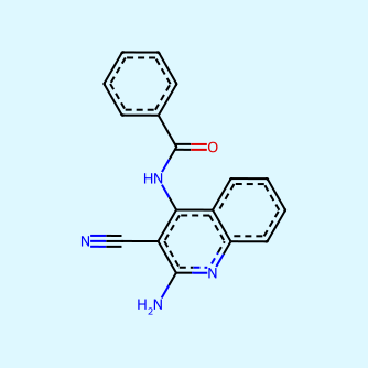 N#Cc1c(N)nc2ccccc2c1NC(=O)c1ccccc1